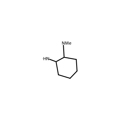 CNC1CCCCC1[NH]